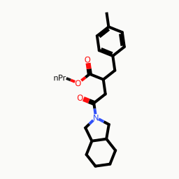 CCCOC(=O)C(CC(=O)N1CC2CCCCC2C1)Cc1ccc(C)cc1